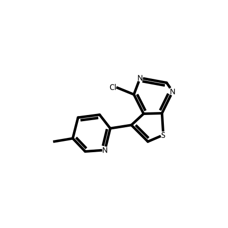 Cc1ccc(-c2csc3ncnc(Cl)c23)nc1